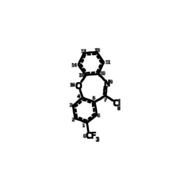 FC(F)(F)c1ccc2c(c1)C(Cl)=Nc1ccccc1O2